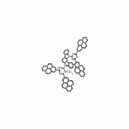 CN1C(c2cc3ccc4cccc5ccc(c2)c3c45)N=C(c2cc3ccc4cccc5ccc(c2)c3c45)NC1n1c2ccccc2c2c3c(ccc21)c1ccccc1n3-c1nc(-c2cc3ccc4cccc5ccc(c2)c3c45)nc(-c2cc3ccc4cccc5ccc(c2)c3c45)n1